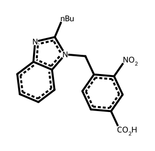 CCCCc1nc2ccccc2n1Cc1ccc(C(=O)O)cc1[N+](=O)[O-]